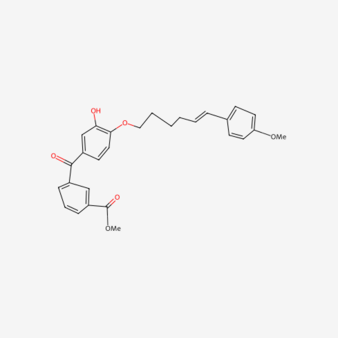 COC(=O)c1cccc(C(=O)c2ccc(OCCCCC=Cc3ccc(OC)cc3)c(O)c2)c1